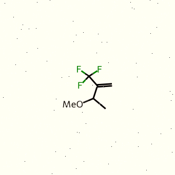 C=C(C(C)OC)C(F)(F)F